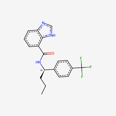 CCC[C@@H](NC(=O)c1cccc2nc[nH]c12)c1ccc(C(F)(F)F)cc1